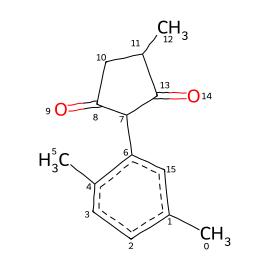 Cc1ccc(C)c(C2C(=O)CC(C)C2=O)c1